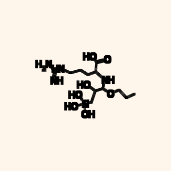 CCCOC(NC(CCCNC(=N)N)C(=O)O)C(O)C[Si](O)(O)O